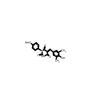 COc1ccc(N2C(=O)NC(=O)/C(=C\c3cc(C)c(O)c(C)c3)C2=O)cc1